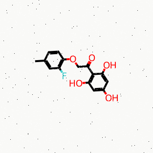 Cc1ccc(OCC(=O)c2c(O)cc(O)cc2O)c(F)c1